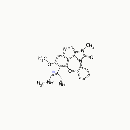 CN/C=C(\C=N)c1c(OC)cc2ncc3c4c2c1oc1ccccc1n4c(=O)n3C